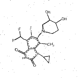 Cc1c(N2CCC(O)C(O)C2)c(F)c(C(F)F)c2c(=O)[nH]c(=O)n(C3CC3)c12